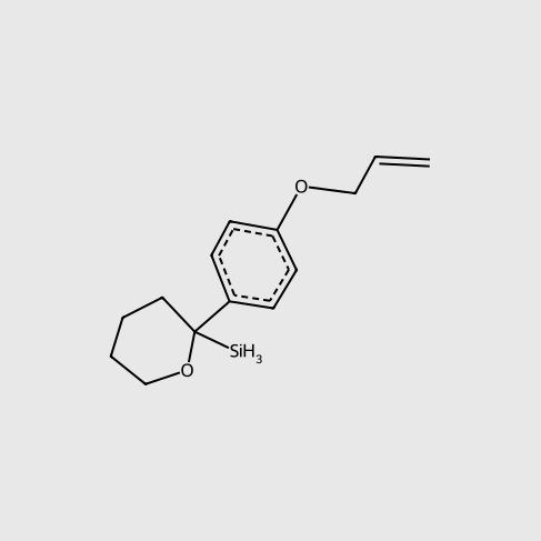 C=CCOc1ccc(C2([SiH3])CCCCO2)cc1